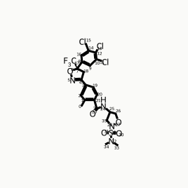 Cc1cc(C2=NO[C@@](c3cc(Cl)c(Cl)c(Cl)c3)(C(F)(F)F)C2)ccc1C(=O)NC1CON(S(=O)(=O)N(C)C)C1